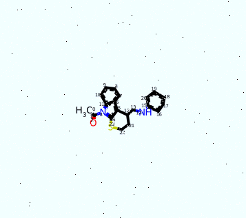 CC(=O)n1c2c(c3ccccc31)C(CNc1ccccc1)CCS2